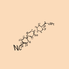 CC(C)C[C@H]1CC[C@H](c2ccc(-c3ccc(C#N)cc3)cc2)CC1